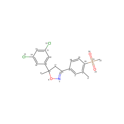 Cc1cc(C2=NOC(C)(c3cc(Cl)cc(Cl)c3)C2)ccc1S(C)(=O)=O